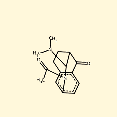 CC(=O)N1c2ccc3c(c2)CCC(C3=O)C1N(C)C